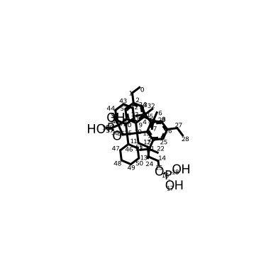 CCc1cc(C(C)(C)C)c(C(CCCCOP(O)O)(c2c(C(C)(C)C)cc(CC)cc2C(C)(C)C)C(OP(O)O)(C2CCCCC2)C2CCCCC2)c(C(C)(C)C)c1